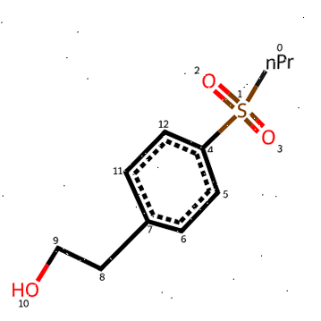 CCCS(=O)(=O)c1ccc(CCO)cc1